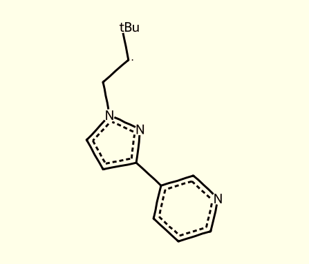 CC(C)(C)[CH]Cn1ccc(-c2cccnc2)n1